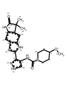 COC1CCN(C(=O)Nc2c[nH]nc2-c2nc3cc4c(cc3[nH]2)C(C)(C)C(=O)N4)CC1